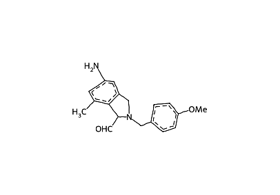 COc1ccc(CN2Cc3cc(N)cc(C)c3C2C=O)cc1